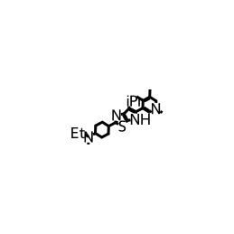 CCN(C)C1CCC(c2nc3c(C(C)C)c(C4=CN(C)CC(C)=C4C)[nH]c3s2)CC1